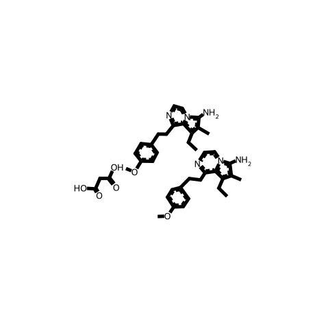 CCc1c(C)c(N)n2ccnc(CCc3ccc(OC)cc3)c12.CCc1c(C)c(N)n2ccnc(CCc3ccc(OC)cc3)c12.O=C(O)CC(=O)O